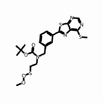 COOSCCN(Cc1cccc(-c2nc3c(SC)ncnc3s2)c1)C(=O)OC(C)(C)C